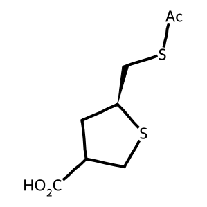 CC(=O)SC[C@@H]1CC(C(=O)O)CS1